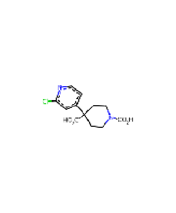 O=C(O)N1CCC(C(=O)O)(c2ccnc(Cl)c2)CC1